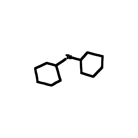 C1CCC([Te]C2CCCCC2)CC1